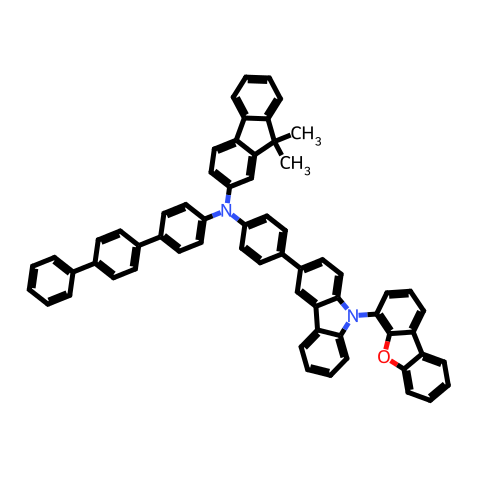 CC1(C)c2ccccc2-c2ccc(N(c3ccc(-c4ccc(-c5ccccc5)cc4)cc3)c3ccc(-c4ccc5c(c4)c4ccccc4n5-c4cccc5c4oc4ccccc45)cc3)cc21